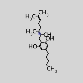 CCCCCc1cc(O)c(C/C(C)=C(\C)CCC=C(C)C)c(O)c1